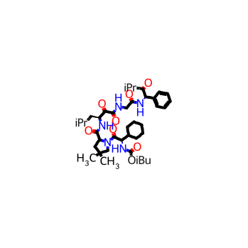 CC(C)COC(=O)N[C@H](C(=O)N1CC(C)(C)CC1C(=O)N[C@@H](CC(C)C)C(=O)C(=O)NCC(=O)N[C@H](C(=O)C(C)C)c1ccccc1)C1CCCCC1